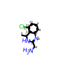 CC1NC(CN)=Nc2cccc(Cl)c21